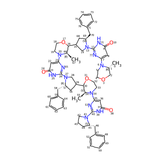 C[C@@H]1COCCN1c1cc(=O)[nH]c(N2CC(C3OCCN(c4cc(=O)[nH]c(N5CC(C6OCCN(c7cc(=O)[nH]c(N8CCC[C@H]8Cc8ccccc8)n7)[C@H]6C)C[C@@H]5Cc5ccccc5)n4)[C@@H]3C)C[C@H]2Cc2ccccc2)n1